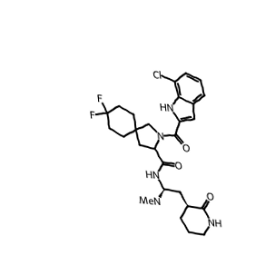 CN[C@H](C[C@@H]1CCCNC1=O)NC(=O)C1CC2(CCC(F)(F)CC2)CN1C(=O)c1cc2cccc(Cl)c2[nH]1